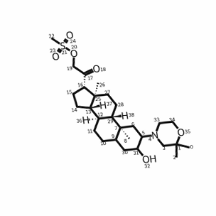 CC1(C)CN(C2C[C@@]3(C)C(CC[C@H]4[C@@H]5CC[C@H](C(=O)COS(C)(=O)=O)[C@@]5(C)CC[C@@H]43)CC2O)CCO1